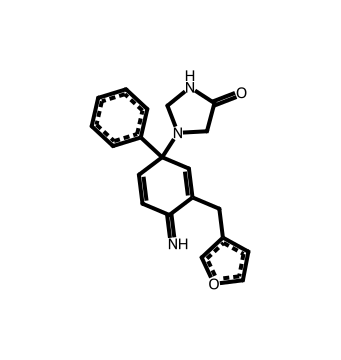 N=C1C=CC(c2ccccc2)(N2CNC(=O)C2)C=C1Cc1ccoc1